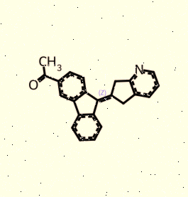 CC(=O)c1ccc2c(c1)-c1ccccc1/C2=C1\Cc2cccnc2C1